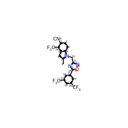 [C-]#[N+]c1ccc2c(cc(C)n2Cc2noc(-c3cc(C(F)(F)F)cc(C(F)(F)F)c3)n2)c1C(F)(F)F